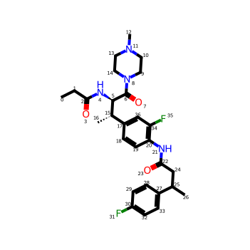 CCC(=O)N[C@@H](C(=O)N1CCN(C)CC1)[C@@H](C)c1ccc(NC(=O)CC(C)c2ccc(F)cc2)c(F)c1